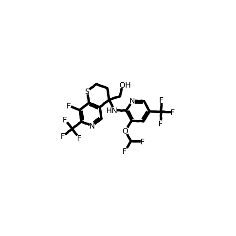 OCC1(Nc2ncc(C(F)(F)F)cc2OC(F)F)CCSc2c1cnc(C(F)(F)F)c2F